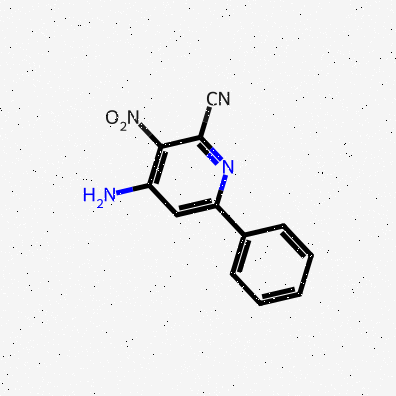 N#Cc1nc(-c2ccccc2)cc(N)c1[N+](=O)[O-]